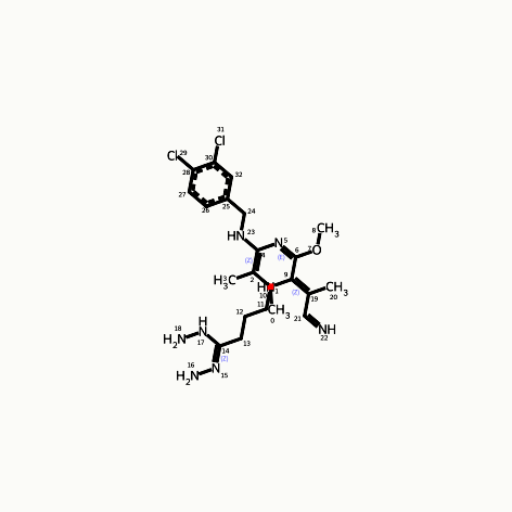 CC\C(C)=C(/N=C(OC)\C(NCCC/C(=N/N)NN)=C(/C)C=N)NCc1ccc(Cl)c(Cl)c1